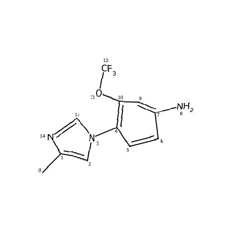 Cc1cn(-c2ccc(N)cc2OC(F)(F)F)cn1